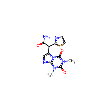 Cn1c(=O)n(C)c2ncc(C(C(N)=O)c3nccs3)n2c1=O